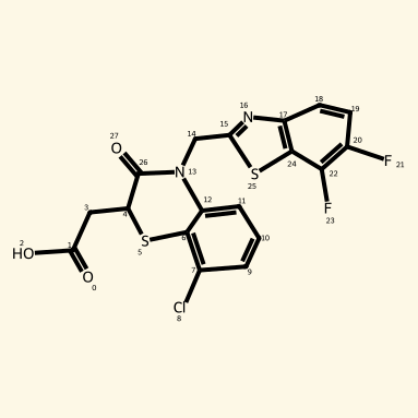 O=C(O)CC1Sc2c(Cl)cccc2N(Cc2nc3ccc(F)c(F)c3s2)C1=O